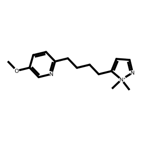 COc1ccc(CCCCC2=CC=N[N+]2(C)C)nc1